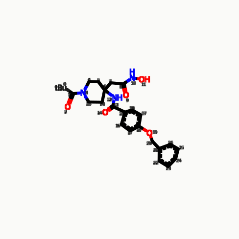 CC(C)(C)C(=O)N1CCC(CC(=O)NO)(NC(=O)c2ccc(OCc3ccccc3)cc2)CC1